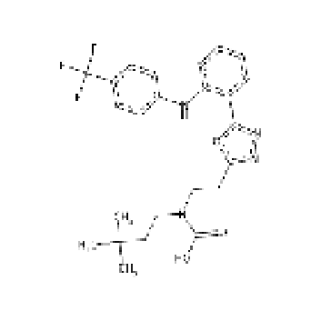 CC(C)(C)CCN(CCc1nnc(-c2ccccc2Nc2ccc(C(F)(F)F)cc2)o1)C(=O)O